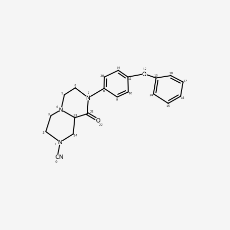 N#CN1CCN2CCN(c3ccc(Oc4ccccc4)cc3)C(=O)C2C1